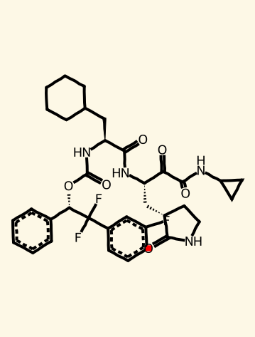 O=C(N[C@@H](CC1CCCCC1)C(=O)N[C@@H](C[C@@H]1CCNC1=O)C(=O)C(=O)NC1CC1)O[C@@H](c1ccccc1)C(F)(F)c1cccc(F)c1